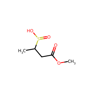 COC(=O)CC(C)S(=O)O